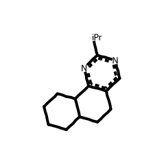 CC(C)c1ncc2c(n1)C1CCCCC1CC2